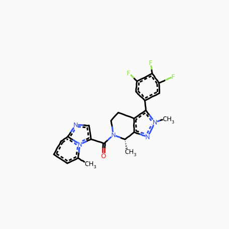 Cc1cccc2ncc(C(=O)N3CCc4c(nn(C)c4-c4cc(F)c(F)c(F)c4)[C@@H]3C)n12